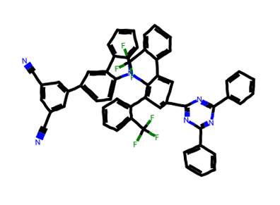 N#Cc1cc(C#N)cc(-c2ccc3c(c2)c2ccccc2n3-c2c(-c3ccccc3C(F)(F)F)cc(-c3nc(-c4ccccc4)nc(-c4ccccc4)n3)cc2-c2ccccc2C(F)(F)F)c1